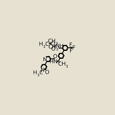 C[C@@H](NC(=O)c1ccnc(-c2ccn(C)c(=O)c2)c1)c1ccc(-c2cc(C(F)(F)F)ccc2CNC(=O)OC(C)(C)C)cc1